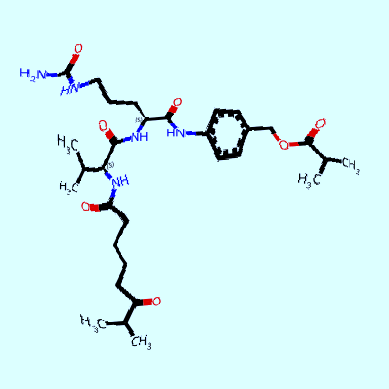 CC(C)C(=O)CCCCC(=O)N[C@H](C(=O)N[C@@H](CCCNC(N)=O)C(=O)Nc1ccc(COC(=O)C(C)C)cc1)C(C)C